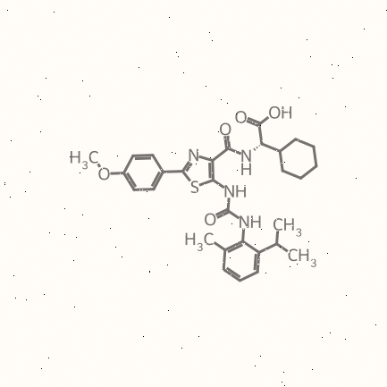 COc1ccc(-c2nc(C(=O)N[C@H](C(=O)O)C3CCCCC3)c(NC(=O)Nc3c(C)cccc3C(C)C)s2)cc1